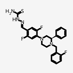 NC(=S)N/N=C/c1cc(F)c(N2CCN(Cc3ccccc3F)[C@H](c3ccccc3)C2)cc1F